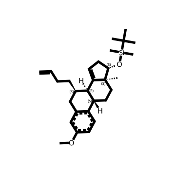 C=CCC[C@@H]1Cc2cc(OC)ccc2[C@H]2CC[C@@]3(C)C(=CC[C@@H]3O[Si](C)(C)C(C)(C)C)[C@H]12